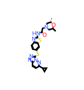 CC1CN(CC(=O)Nc2nc3ccc(Sc4nnc5ccc(C6CC6)nn45)cc3s2)C[C@H](C)O1